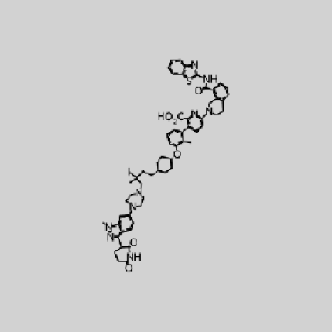 Cc1c(O[C@H]2CC[C@H](CCC(C)(I)CN3CCN(c4ccc5c(C6CCC(=O)NC6=O)nn(C)c5c4)CC3)CC2)cccc1-c1ccc(N2CCc3cccc(C(=O)Nc4nc5ccccc5s4)c3C2)nc1C(=O)O